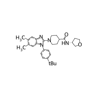 Cc1cc2nc(N3CCC(C(=O)N[C@@H]4CCOC4)CC3)n(-c3ccc(C(C)(C)C)cc3)c2cc1C